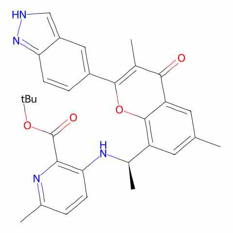 Cc1cc([C@@H](C)Nc2ccc(C)nc2C(=O)OC(C)(C)C)c2oc(-c3ccc4n[nH]cc4c3)c(C)c(=O)c2c1